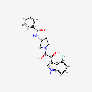 O=C(NC1CCN(C(=O)C(=O)c2c[nH]c3cccc(F)c23)C1)c1ccccc1